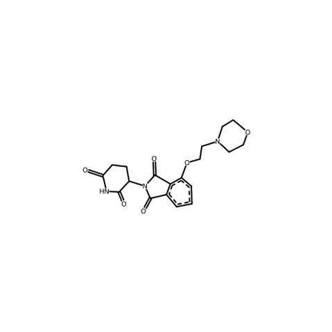 O=C1CCC(N2C(=O)c3cccc(OCCN4CCOCC4)c3C2=O)C(=O)N1